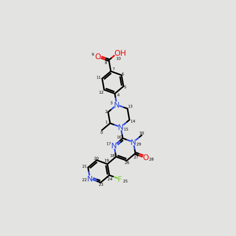 CC1CN(c2ccc(C(=O)O)cc2)CCN1c1nc(-c2ccncc2F)cc(=O)n1C